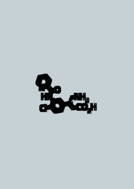 NC[C@H](CC(=O)O)c1ccc(Cl)c(NC(=O)c2ccccn2)c1